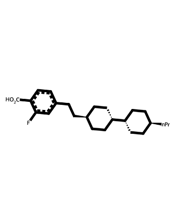 CCC[C@H]1CC[C@H]([C@H]2CC[C@H](CCc3ccc(C(=O)O)c(F)c3)CC2)CC1